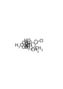 C[C@@H]1c2cc(Cl)ccc2[C@@](CO)(CO[Si](C)(C)C(C)(C)C)C[C@@H]1C